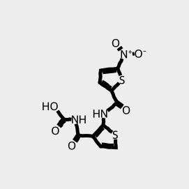 O=C(O)NC(=O)c1ccsc1NC(=O)c1ccc([N+](=O)[O-])s1